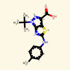 Cc1ccc(Nc2nc3c(s2)c(C(=O)O)nn3C(C)(C)C)cc1